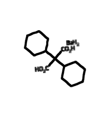 O=C(O)C(C(=O)O)(C1CCCCC1)C1CCCCC1.[BaH2]